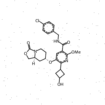 COc1nc(C2CC(O)C2)c(O[C@H]2CCN3C(=O)OC[C@@H]3C2)cc1C(=O)NCc1ccc(Cl)cc1